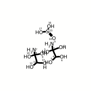 NC(O)(O)C(O)O.NC(O)(O)C(O)O.O=[Si](O)O